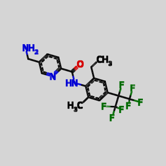 CCc1cc(C(F)(C(F)(F)F)C(F)(F)F)cc(C)c1NC(=O)c1ccc(CN)cn1